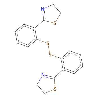 c1ccc(C2=NCCS2)c(SSc2ccccc2C2=NCCS2)c1